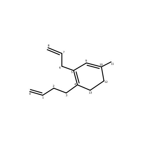 C=CCCC1=C(CC=C)C=C(C)CC1